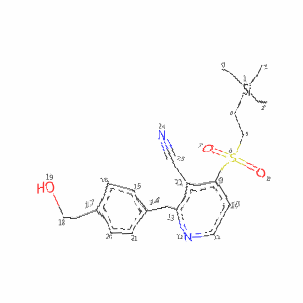 C[Si](C)(C)CCS(=O)(=O)c1ccnc(-c2ccc(CO)cc2)c1C#N